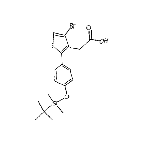 CC(C)(C)[Si](C)(C)Oc1ccc(-c2scc(Br)c2CC(=O)O)cc1